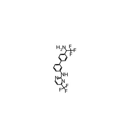 NC(c1ccc(-c2cccc(Nc3nccc(C(F)(F)F)n3)c2)cc1)C(F)(F)F